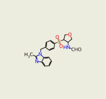 Cc1nc2ccccc2n1Cc1ccc(S(=O)(=O)C2COCC2NC=O)cc1